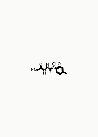 Cc1ccc(N(C=O)C(=S)NNC(=O)CC#N)cc1